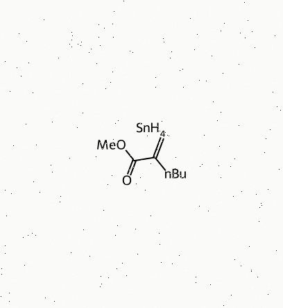 C=C(CCCC)C(=O)OC.[SnH4]